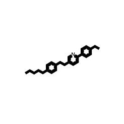 CCCCCc1ccc(CCc2ccc(-c3ccc(CC)cc3)nc2)cc1